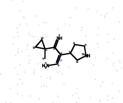 CC1(C(=N)/C(=C\N)C2CCNC2)CC1